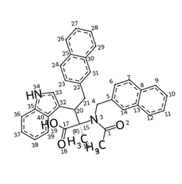 CC(=O)N(Cc1ccc2ccccc2c1)[C@@](C)(C(=O)O)C(Cc1ccc2ccccc2c1)c1c[nH]c2ccccc12